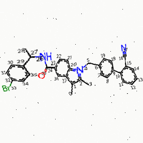 Cc1c(C)n(Cc2ccc(-c3ccccc3C#N)cc2)c2ccc(C(=O)NC(C)c3ccc(Br)cc3)cc12